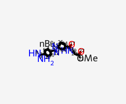 CCCCn1c(-c2ccc(C(=N)N)cc2)nc2cc(C(=O)NCCC(=O)OC)ccc21